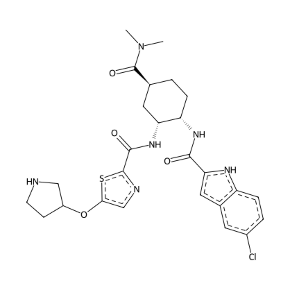 CN(C)C(=O)[C@H]1CC[C@H](NC(=O)c2cc3cc(Cl)ccc3[nH]2)[C@H](NC(=O)c2ncc(OC3CCNC3)s2)C1